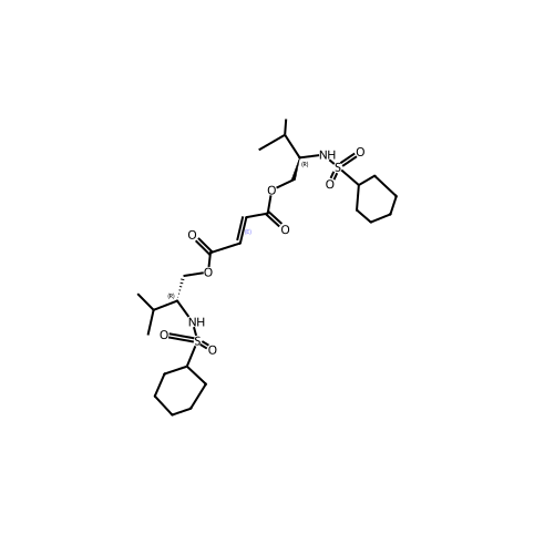 CC(C)[C@H](COC(=O)/C=C/C(=O)OC[C@H](NS(=O)(=O)C1CCCCC1)C(C)C)NS(=O)(=O)C1CCCCC1